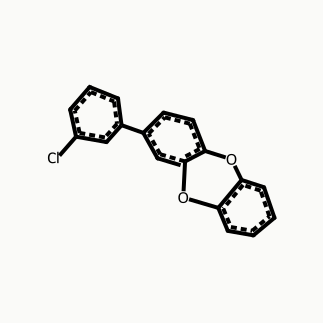 Clc1cccc(-c2ccc3c(c2)Oc2ccccc2O3)c1